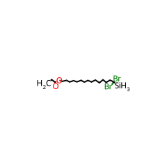 C=CC(=O)OCCCCCCCCCCCCCCC([SiH3])(Br)Br